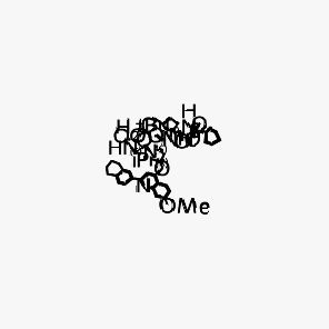 C=CC1=CC[C@](NC(=O)[C@@H]2C[C@@H](Oc3cc(-c4ccc5c(c4)CCCC5)nc4cc(OC)ccc34)CN2C(=O)[C@@H](NC(=O)OC(C)(C)C)C(C)C)(C(=O)NS(=O)(=O)c2ccccc2)C1